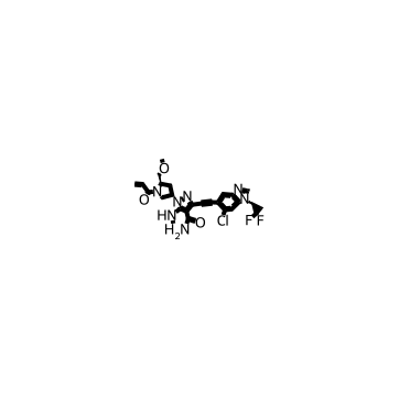 C=CC(=O)N1C[C@@H](n2nc(C#Cc3cc4ncn([C@H]5CC5(F)F)c4cc3Cl)c(C(N)=O)c2NC)C[C@@H]1COC